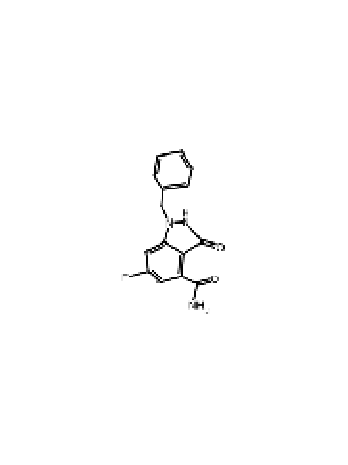 NC(=O)c1[c]c(F)cc2c1c(=O)[nH]n2Cc1ccccc1